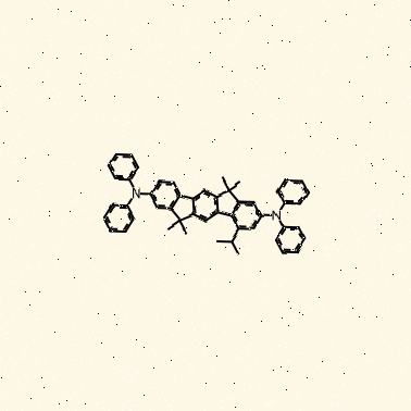 CC(C)c1cc(N(c2ccccc2)c2ccccc2)cc2c1-c1cc3c(cc1C2(C)C)-c1ccc(N(c2ccccc2)c2ccccc2)cc1C3(C)C